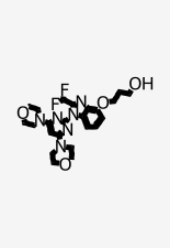 OCCCOc1cccc2c1nc(C(F)F)n2-c1nc(N2CCOCC2)cc(N2CCOCC2)n1